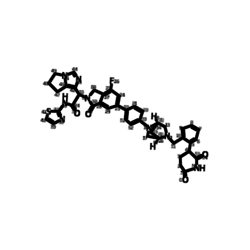 O=C1CCC(c2ccccc2CN2C[C@@H]3C[C@H]2CN3c2ccc(-c3cc(F)c4c(c3)C(=O)N(C(C(=O)Nc3nccs3)c3ncn5c3CCC5)C4)cc2)C(=O)N1